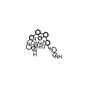 COc1nc(-c2cccc(-c3cccc(-c4ccc(CN5CCCC6(CCNC6)C5)c(OC)n4)c3Cl)c2Cl)ccc1CN1CCCC2(CCNC2)C1